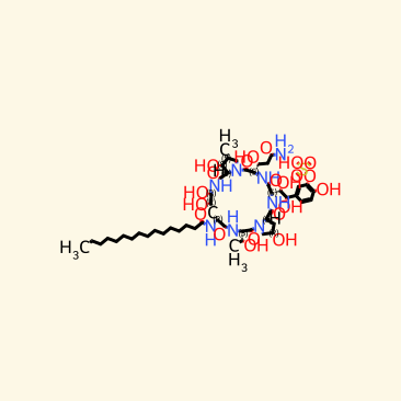 CCCCCCCCCCCCCCCC(=O)N[C@@H]1C[C@@H](O)[C@@H](O)NC(=O)[C@@H]2[C@@H](O)[C@@H](C)CN2C(=O)[C@H](C(O)CC(N)=O)NC(=O)[C@H](C(O)C(O)c2ccc(O)c(OS(=O)(=O)O)c2)NC(=O)[C@@H]2C[C@@H](O)CN2C(=O)[C@H](C(C)O)NC1=O